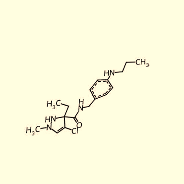 CCCNc1ccc(CNC(=O)C2(CC)NN(C)C=C2Cl)cc1